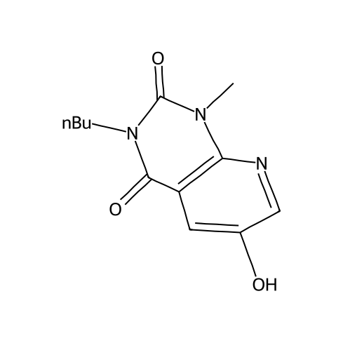 CCCCn1c(=O)c2cc(O)cnc2n(C)c1=O